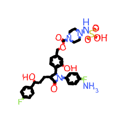 N.O=C(OCc1ccc(C2C(CCC(O)c3ccc(F)cc3)C(=O)N2c2ccc(F)cc2)c(O)c1)N1CCN(NS(=O)(=O)O)CC1